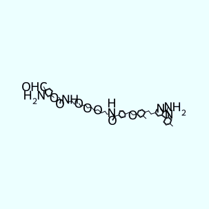 Cc1ccc2c(c1)nc(N)c1ncc(CCc3ccc(OCc4ccc(C(=O)NCCCOCCOCCOCCCNC(=O)COc5ccc(C=O)c(N)c5)cc4)cc3C)cc12